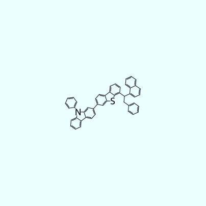 c1ccc(CC(c2cccc3ccccc23)c2cccc3c2sc2cc(-c4ccc5c6ccccc6n(-c6ccccc6)c5c4)ccc23)cc1